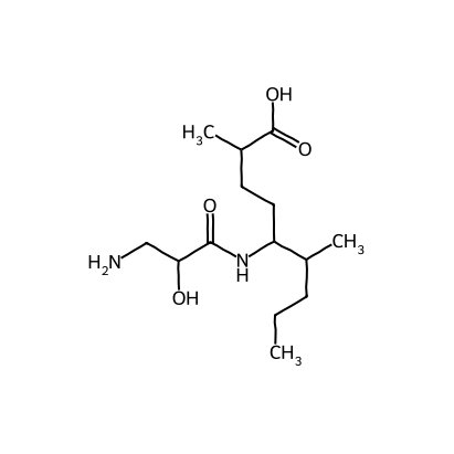 CCCC(C)C(CCC(C)C(=O)O)NC(=O)C(O)CN